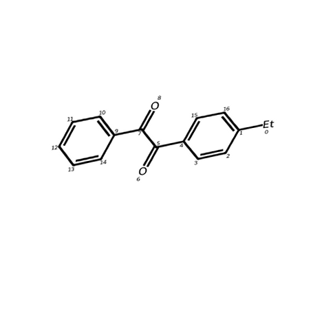 CCc1ccc(C(=O)C(=O)c2ccccc2)cc1